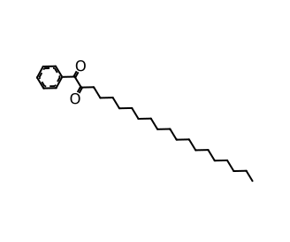 CCCCCCCCCCCCCCCCCCC(=O)C(=O)c1ccccc1